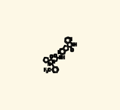 O=C(CN1C(=O)C2(CCCC2)N=C1c1ccccc1C(F)(F)F)Nc1cc2c(cn1)C[C@]1(C2)C(=O)Nc2ncccc21